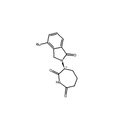 CCC(C)c1cccc2c1CN([C@H]1CCCC(=O)NC1=O)C2=O